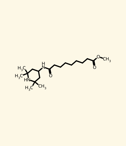 COC(=O)CCCCCCCC(=O)NC1CC(C)(C)NC(C)(C)C1